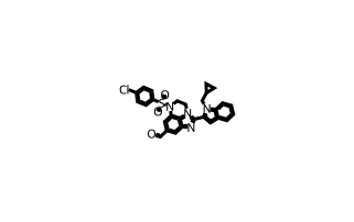 O=Cc1cc2c3c(c1)nc(-c1cc4ccccc4n1CC1CC1)n3CCN2S(=O)(=O)c1ccc(Cl)cc1